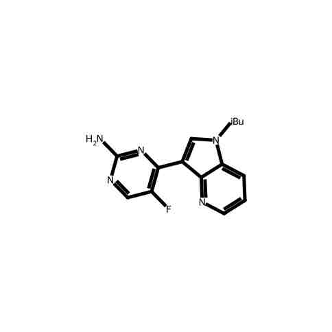 CCC(C)n1cc(-c2nc(N)ncc2F)c2ncccc21